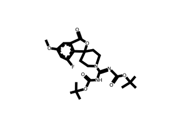 COc1cc(F)c2c(c1)C(=O)OC21CCN(C(=NC(=O)OC(C)(C)C)NC(=O)OC(C)(C)C)CC1